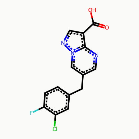 O=C(O)c1cnn2cc(Cc3ccc(F)c(Cl)c3)cnc12